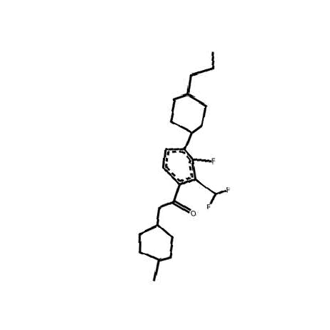 CCCC1CCC(c2ccc(C(=O)CC3CCC(C)CC3)c(C(F)F)c2F)CC1